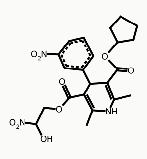 CC1=C(C(=O)OCC(O)[N+](=O)[O-])C(c2cccc([N+](=O)[O-])c2)C(C(=O)OC2CCCC2)=C(C)N1